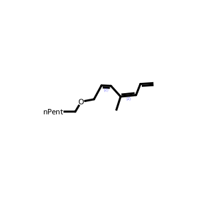 C=C/C=C(C)\C=C/COCCCCCC